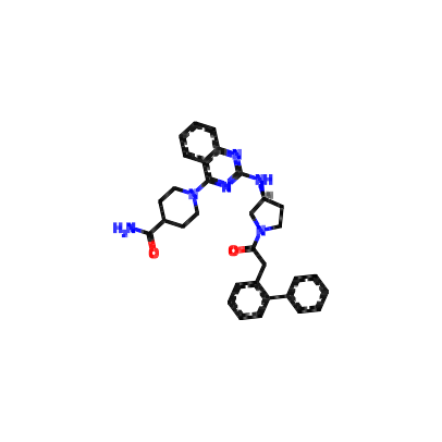 NC(=O)C1CCN(c2nc(N[C@H]3CCN(C(=O)Cc4ccccc4-c4ccccc4)C3)nc3ccccc23)CC1